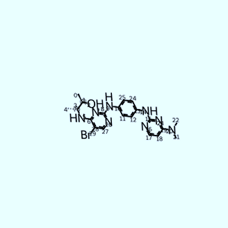 C[C@@H](O)[C@@H](C)Nc1nc(Nc2ccc(Nc3nccc(N(C)C)n3)cc2)ncc1Br